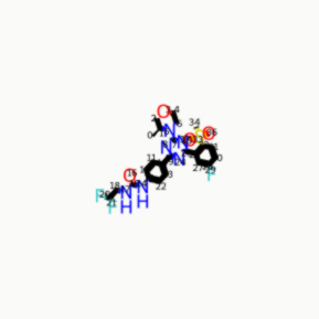 C[C@H]1COCCN1c1nc(-c2ccc(NC(=O)NCC(F)F)cc2)nc(-c2cc(F)ccc2S(C)(=O)=O)n1